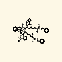 O=C(NCCCC[C@H](NC(=O)C1CCC1)C(=O)NC(Cc1ccccc1)P(=O)(O)O[C@@H](CCCCNC(=O)OCc1ccccc1)C(=O)N1CCC[C@H]1C(=O)O)OCc1ccccc1